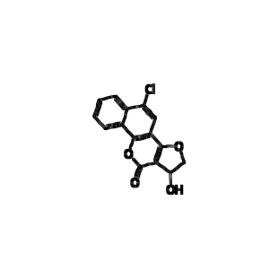 O=c1oc2c(cc(Cl)c3ccccc32)c2c1C(O)CO2